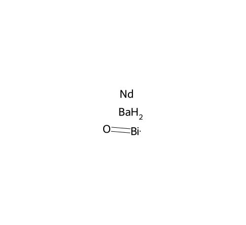 [BaH2].[Nd].[O]=[Bi]